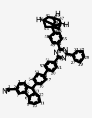 N#Cc1ccc2c(c1)-c1ccccc1C2c1ccc(-c2ccc(-c3nc(-c4ccccc4)nc(-c4ccc(C56C[C@H]7C[C@@H](C5)C[C@@H](C6)C7)cc4)n3)cc2)cc1